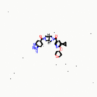 O=C(c1cnc(OC2CCOCC2)c(C2CC2)c1)N1C[C@@H]2CN(C(=O)C3CCc4[nH]nnc4C3)C[C@H]2C1